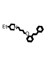 CCC1CCN(CCCCOc2ccccc2C=Cc2ccccc2)CC1